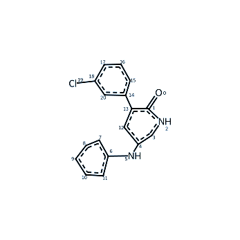 O=c1[nH]cc(Nc2ccccc2)cc1-c1cccc(Cl)c1